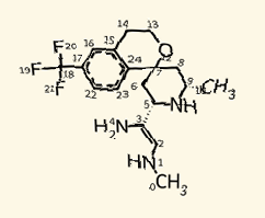 CN/C=C(\N)[C@@H]1C[C@]2(C[C@H](C)N1)OCCc1cc(C(F)(F)F)ccc12